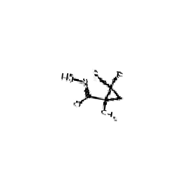 CC1(C(Cl)=NO)CC1(F)F